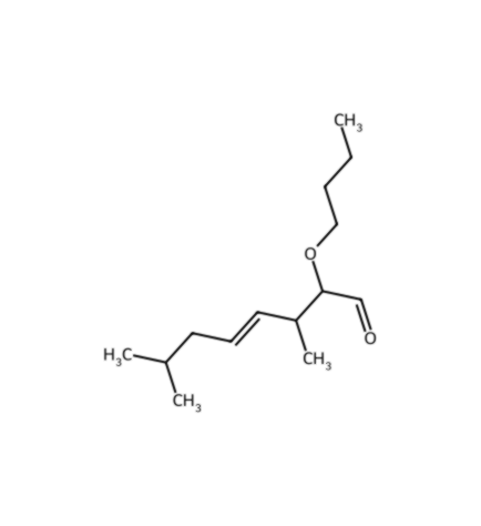 CCCCOC(C=O)C(C)C=CCC(C)C